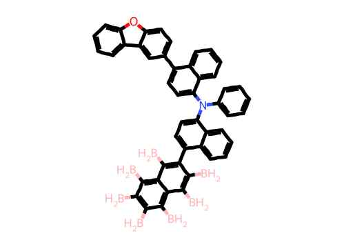 Bc1c(B)c(B)c2c(B)c(-c3ccc(N(c4ccccc4)c4ccc(-c5ccc6oc7ccccc7c6c5)c5ccccc45)c4ccccc34)c(B)c(B)c2c1B